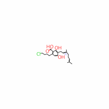 CC(C)=CCC/C(C)=C/Cc1c(O)cc(CCCCCl)c(C(=O)O)c1O